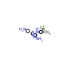 Cc1ccc(Nc2cc(N)nn3cc([C@H]4CC[C@H](N)CC4)nc23)cc1C(F)(F)F